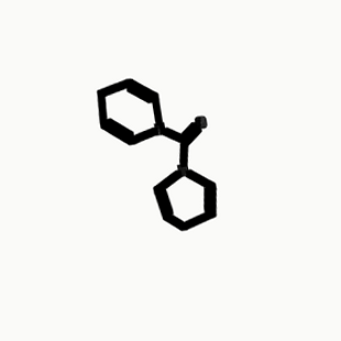 O=C(N1C=CCC=C1)N1C=CCC=C1